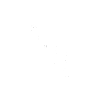 CC(C)(C)OCCN1CCC2(CC1)COc1cc(O)ccc12